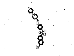 O=S(=O)(Nc1ccc(OCC2CCN(c3ccncc3)CC2)cc1)c1ccc2cc(Br)ccc2c1